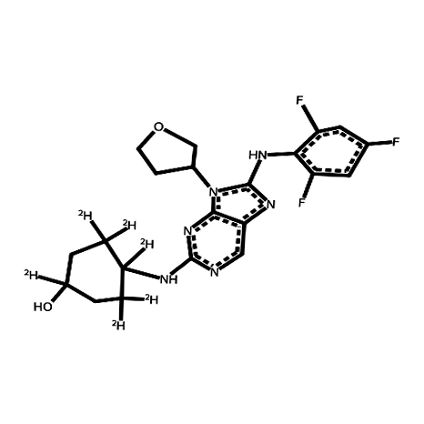 [2H]C1(O)CC([2H])([2H])C([2H])(Nc2ncc3nc(Nc4c(F)cc(F)cc4F)n(C4CCOC4)c3n2)C([2H])([2H])C1